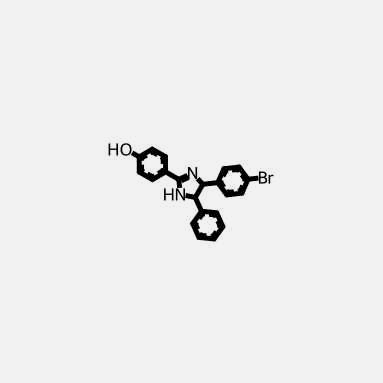 Oc1ccc(C2=NC(c3ccc(Br)cc3)C(c3ccccc3)N2)cc1